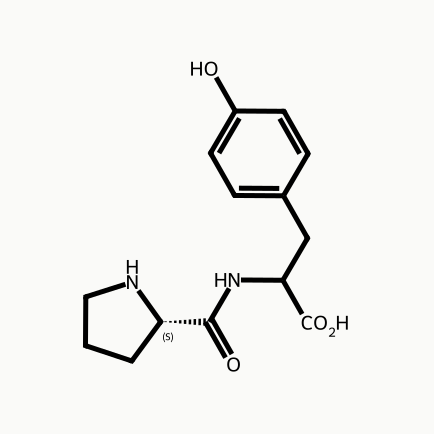 O=C(O)C(Cc1ccc(O)cc1)NC(=O)[C@@H]1CCCN1